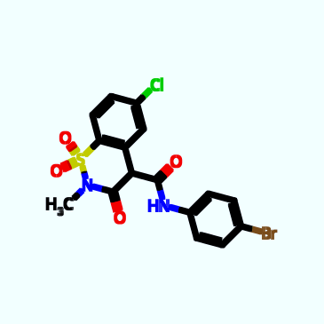 CN1C(=O)C(C(=O)Nc2ccc(Br)cc2)c2cc(Cl)ccc2S1(=O)=O